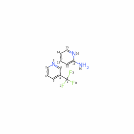 FC(F)(F)c1cccnc1.Nc1ccccn1